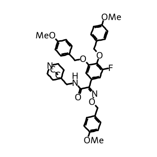 COc1ccc(CO/N=C(\C(=O)NCC23CCN(CC2)CC3)c2cc(F)c(OCc3ccc(OC)cc3)c(OCc3ccc(OC)cc3)c2)cc1